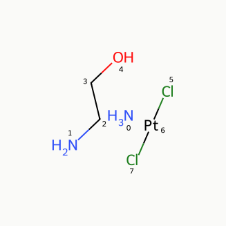 N.NCCO.[Cl][Pt][Cl]